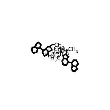 CCC1=Cc2c(-c3cccc4ccccc34)cccc2[CH]1[Ti]([CH3])([CH3])[C](C)(C)[Ti]([CH3])([CH3])[CH]1C(CC)=Cc2c(-c3cccc4ccccc34)cccc21